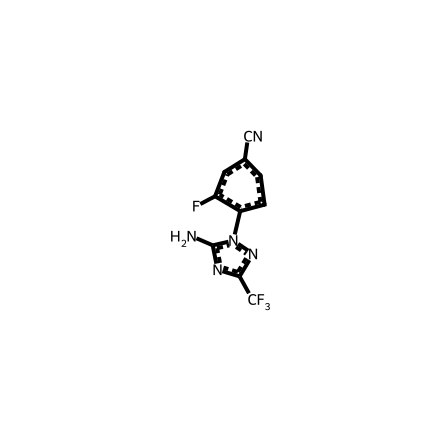 N#Cc1ccc(-n2nc(C(F)(F)F)nc2N)c(F)c1